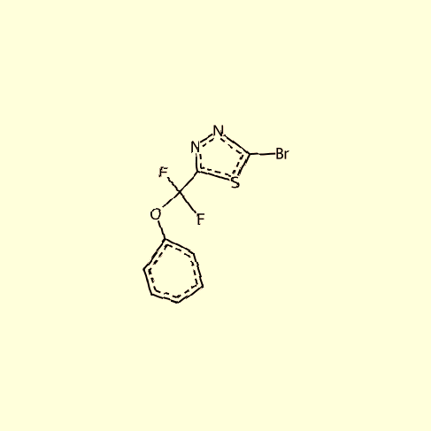 FC(F)(Oc1ccccc1)c1nnc(Br)s1